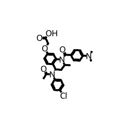 CC(=O)N(c1ccc(Cl)cc1)[C@H]1CC(C)N(C(=O)c2ccc(N(C)C)cc2)c2cc(OCC(=O)O)ccc21